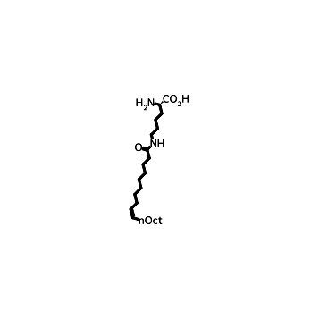 CCCCCCCC/C=C\CCCCCCCC(=O)NCCCC[C@H](N)C(=O)O